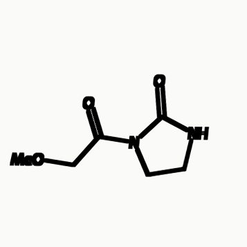 COCC(=O)N1CCNC1=O